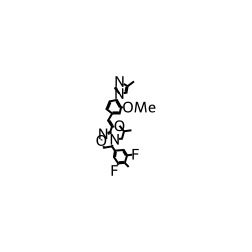 COc1cc(/C=C2\OC(C)CN3C2=NOCC3c2cc(F)c(C)c(F)c2)ccc1-n1cnc(C)c1